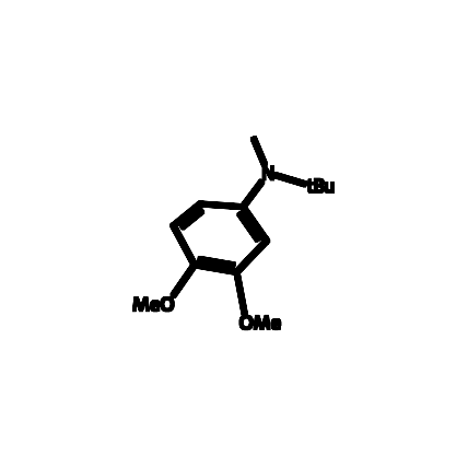 COc1ccc(N(C)C(C)(C)C)cc1OC